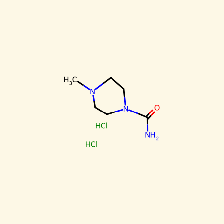 CN1CCN(C(N)=O)CC1.Cl.Cl